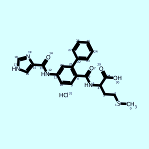 CSCCC(NC(=O)c1ccc(NC(=O)c2c[nH]cn2)cc1-c1ccccc1)C(=O)O.Cl